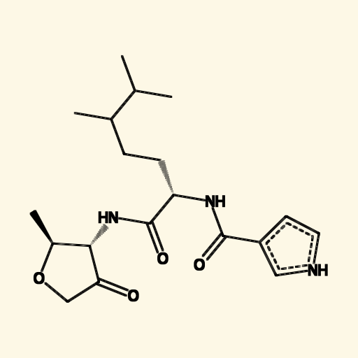 CC(C)C(C)CC[C@H](NC(=O)c1cc[nH]c1)C(=O)N[C@@H]1C(=O)CO[C@H]1C